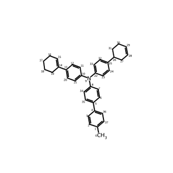 Cc1ccc(-c2ccc(N(c3ccc(C4=CCCCC4)cc3)c3ccc(C4CC=CCC4)cc3)cc2)cc1